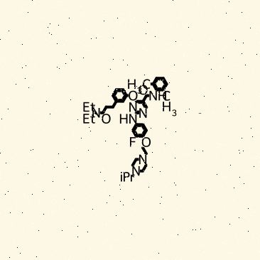 CCN(CC)C(=O)CCc1cccc(Oc2nc(Nc3ccc(OCCN4CCN(C(C)C)CC4)c(F)c3)ncc2C(=O)Nc2c(C)cccc2C)c1